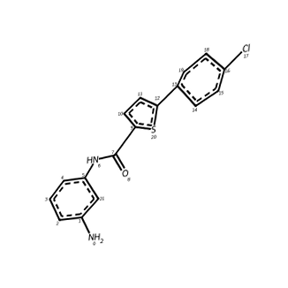 Nc1cccc(NC(=O)c2ccc(-c3ccc(Cl)cc3)s2)c1